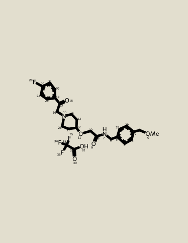 COCc1ccc(CNC(=O)COC2CCN(CC(=O)c3ccc(F)cc3)CC2)cc1.O=C(O)C(F)(F)F